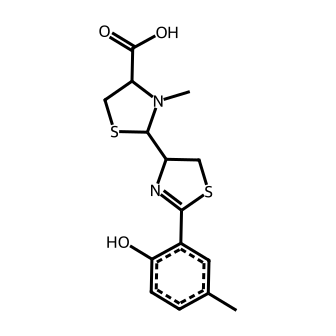 Cc1ccc(O)c(C2=NC(C3SCC(C(=O)O)N3C)CS2)c1